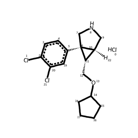 Cl.Clc1ccc([C@]23CNC[C@H]2[C@@H]3COC2CCCC2)cc1Cl